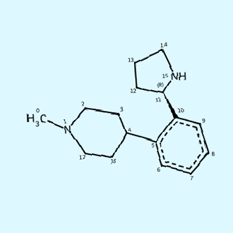 CN1CCC(c2ccccc2[C@H]2CCCN2)CC1